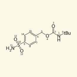 CC(C)(C)NC(=O)OCc1ccc(S(N)(=O)=O)cc1